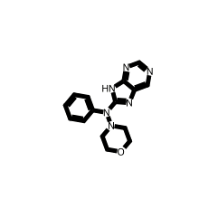 c1ccc(N(c2nc3cncnc3[nH]2)N2CCOCC2)cc1